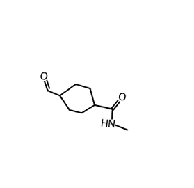 CNC(=O)C1CCC(C=O)CC1